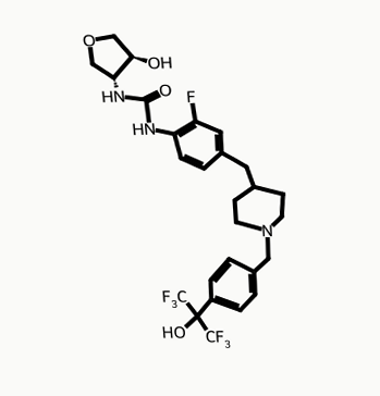 O=C(Nc1ccc(CC2CCN(Cc3ccc(C(O)(C(F)(F)F)C(F)(F)F)cc3)CC2)cc1F)N[C@@H]1COC[C@H]1O